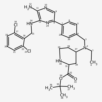 CCN(Cc1ccc(-c2cnc(N)c(NCc3c(Cl)cccc3Cl)n2)cc1)C1CCNC(C(=O)OC(C)(C)C)C1